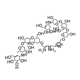 C[C@H]1O[C@H](O[C@@H]2[C@@H](CO)C[C@H](O[C@H]3C(O)C[C@H](OC/C(N)=C/N(N)CCn4cc(CO[C@H]5C[C@@H](O)C(O[C@@H]6C[C@@H](O)[C@H](O[C@@H]7C[C@@H](O)[C@H](N[C@H]8C=C(CO)[C@@H](O)[C@H](O)C8)[C@@H](C)O7)[C@@H](CO)O6)[C@@H](CO)O5)nn4)C[C@@H]3CO)C[C@H]2O)C[C@@H](O)[C@@H]1N[C@H]1C=C(CO)[C@@H](O)[C@H](O)C1O